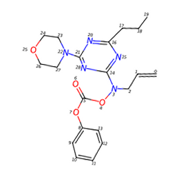 C=CCN(OC(=O)Oc1ccccc1)c1nc(CCC)nc(N2CCOCC2)n1